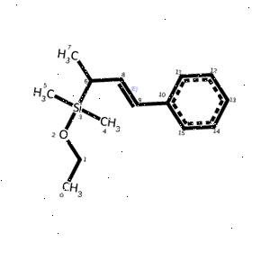 CCO[Si](C)(C)C(C)/C=C/c1ccccc1